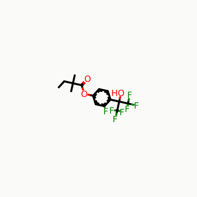 CCC(C)(C)C(=O)Oc1ccc(C(O)(C(F)(F)F)C(F)(F)F)c(F)c1